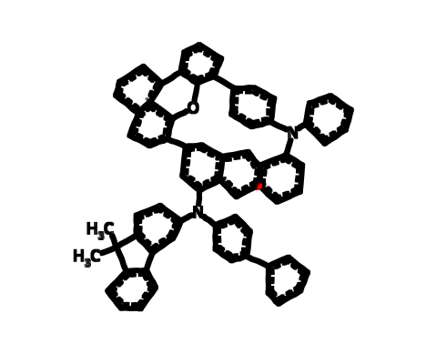 CC1(C)c2ccccc2-c2cc(N(c3ccc(-c4ccccc4)cc3)c3cc(-c4ccc5cccc6c5c4Oc4c(-c5ccc(N(c7ccccc7)c7ccccc7)cc5)cccc4-6)cc4ccccc34)ccc21